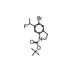 CC(F)c1cc2c(cc1Br)CCN2C(=O)OC(C)(C)C